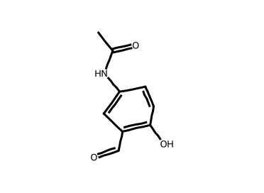 CC(=O)Nc1ccc(O)c(C=O)c1